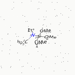 CCN(C(=O)O)[Si](OC)(OC)OC